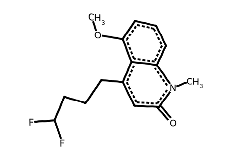 COc1cccc2c1c(CCCC(F)F)cc(=O)n2C